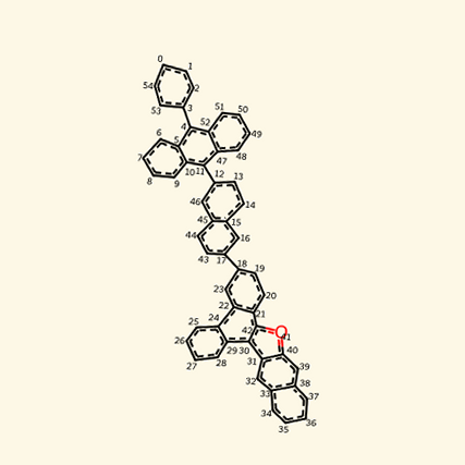 c1ccc(-c2c3ccccc3c(-c3ccc4cc(-c5ccc6c(c5)c5ccccc5c5c7cc8ccccc8cc7oc65)ccc4c3)c3ccccc23)cc1